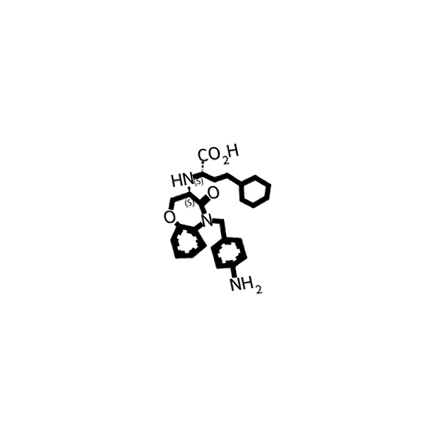 Nc1ccc(CN2C(=O)[C@@H](N[C@@H](CCC3CCCCC3)C(=O)O)COc3ccccc32)cc1